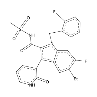 CCc1cc2c(-c3ccc[nH]c3=O)c(C(=O)NS(C)(=O)=O)n(Cc3ccccc3F)c2cc1F